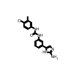 Cc1cc(NC(=O)Nc2cccc(-c3cnc(N)[nH]3)c2)ccc1Cl